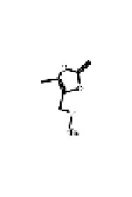 C=C1OC(C)=C(COC(C)(C)C)O1